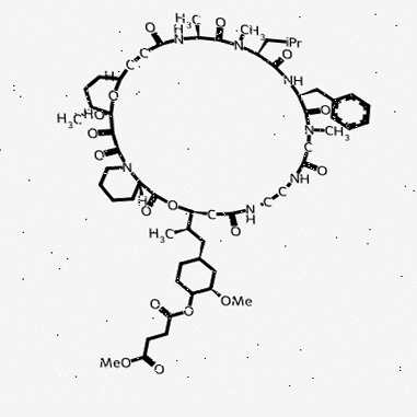 COC(=O)CCC(=O)OC1CC[C@@H](C[C@@H](C)[C@@H]2CC(=O)NCCNC(=O)CN(C)C(=O)[C@H](Cc3ccccc3)NC(=O)[C@H](CC(C)C)N(C)C(=O)[C@H](C)NC(=O)CC[C@@H]3CC[C@@H](C)[C@@](O)(O3)C(=O)C(=O)N3CCCC[C@H]3C(=O)O2)C[C@H]1OC